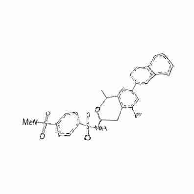 CNS(=O)(=O)c1ccc(S(=O)(=O)NC2Cc3c(C(C)C)cc(-c4ccc5ccccc5c4)cc3C(C)O2)cc1